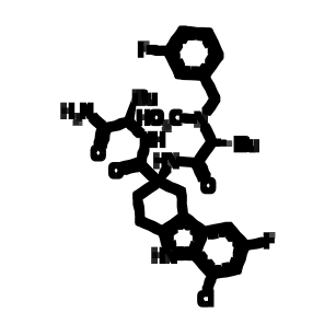 CC[C@H](C)C(NC(=O)[C@@]1(NC(=O)C([C@@H](C)CC)N(Cc2cccc(F)c2)C(=O)O)CCc2[nH]c3c(Cl)cc(F)cc3c2C1)C(N)=O